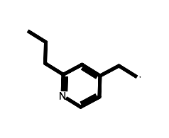 [CH2]Cc1ccnc(CCC)c1